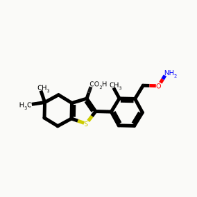 Cc1c(CON)cccc1-c1sc2c(c1C(=O)O)CC(C)(C)CC2